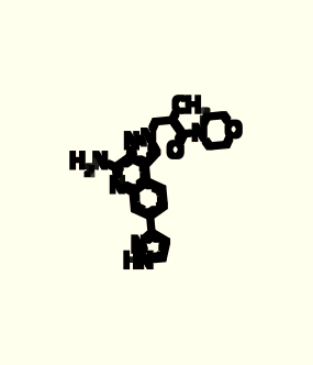 CC(Cn1cc2c(n1)c(N)nc1cc(-c3cc[nH]n3)ccc12)C(=O)N1CCOCC1